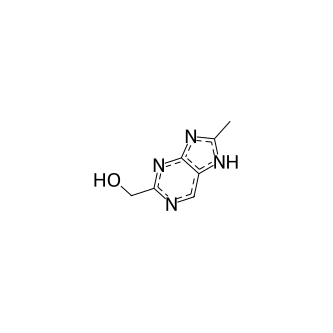 Cc1nc2nc(CO)ncc2[nH]1